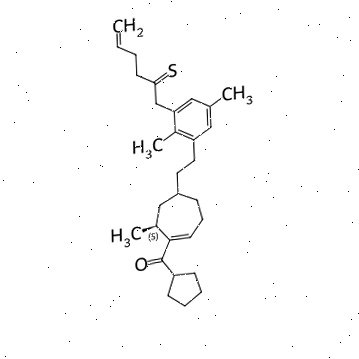 C=CCCC(=S)Cc1cc(C)cc(CCC2CCC=C(C(=O)C3CCCC3)[C@@H](C)C2)c1C